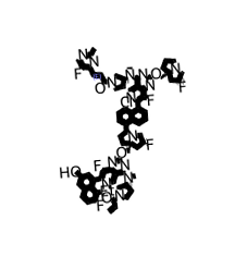 C=CC(=O)N1CC[C@@H](N(C)c2nc(OC[C@@]34CCC(c5ccc(Cl)c6c(-c7ncc8c(N(C)[C@@H]9CCN(C(=O)/C=C/c%10nc(C)ncc%10F)C9)nc(OC[C@@]9%10CCCN9C[C@H](F)C%10)nc8c7F)cccc56)N3C[C@H](F)C4)nc3c(F)c(-c4cc(O)cc5ccc(F)c(CC)c45)ncc23)C1